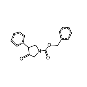 O=C1CN(C(=O)OCc2ccccc2)CC1c1ccccc1